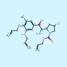 C=CCOC(=O)N1CC(S)CC1C(N)C(=O)c1cc(C#N)c(OCC=C)c(OCC=C)c1